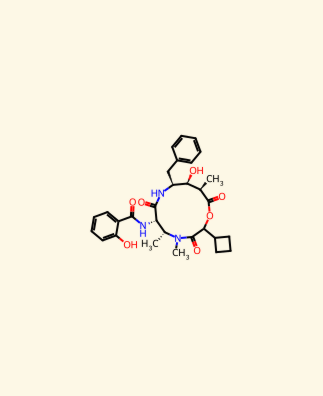 C[C@@H]1[C@H](NC(=O)c2ccccc2O)C(=O)N[C@@H](Cc2ccccc2)[C@@H](O)[C@@H](C)C(=O)OC(C2CCC2)C(=O)N1C